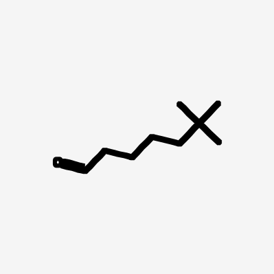 CC(C)(C)CCCCC=O